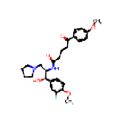 COc1ccc(C(=O)CCCC(=O)N[C@H](CN2CCCC2)[C@H](O)c2ccc(OC)c(F)c2)cc1